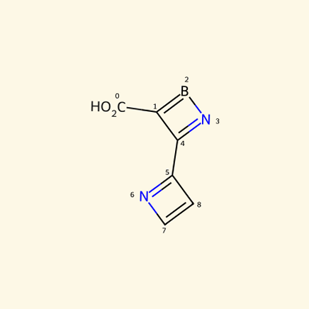 O=C(O)C1=BN=C1C1=NC=C1